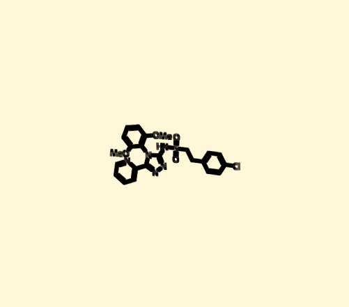 COc1cccc(OC)c1-n1c(NS(=O)(=O)CCc2ccc(Cl)cc2)nnc1-c1ccccn1